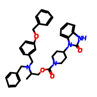 CC(COC(=O)N1CCC(n2c(=O)[nH]c3ccccc32)CC1)N(Cc1ccccc1)Cc1cccc(OCc2ccccc2)c1